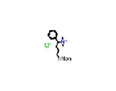 CCCCCCCCCCCCC(c1ccccc1)[N+](C)(C)C.[Cl-]